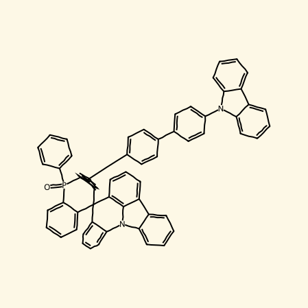 O=P1(c2ccccc2)c2ccccc2C2(c3ccccc3-n3c4ccccc4c4cccc2c43)c2cc(-c3ccc(-c4ccc(-n5c6ccccc6c6ccccc65)cc4)cc3)ccc21